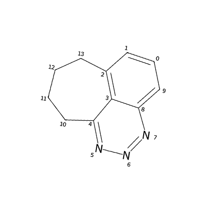 c1cc2c3c(nnnc3c1)CCCC2